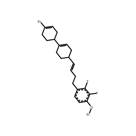 CCOc1ccc(CC/C=C/C2CC=C(C3CC=C(CC)CC3)CC2)c(F)c1F